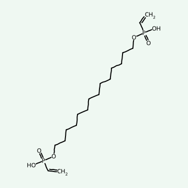 C=CP(=O)(O)OCCCCCCCCCCCCCCOP(=O)(O)C=C